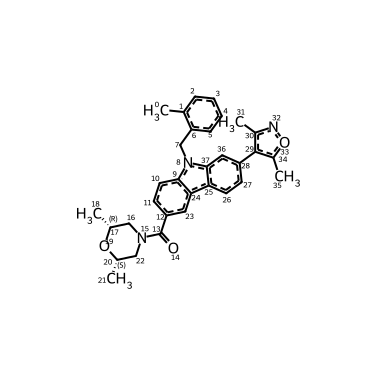 Cc1ccccc1Cn1c2ccc(C(=O)N3C[C@@H](C)O[C@@H](C)C3)cc2c2ccc(-c3c(C)noc3C)cc21